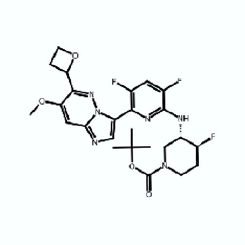 COc1cc2ncc(-c3nc(N[C@H]4CN(C(=O)OC(C)(C)C)CC[C@@H]4F)c(F)cc3F)n2nc1C1CCO1